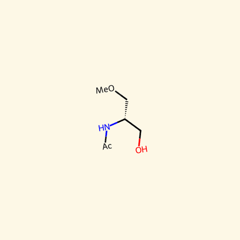 COC[C@H](CO)NC(C)=O